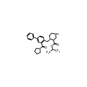 O=C(OC(C(F)(F)F)C(F)(F)F)C1CNCCN1Cc1ccc(-c2ccccc2)cc1C(=O)N1CCCC1